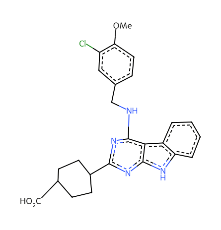 COc1ccc(CNc2nc(C3CCC(C(=O)O)CC3)nc3[nH]c4ccccc4c23)cc1Cl